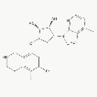 Cc1ncnc2c1ccn2C1CC(Oc2cc(Br)c(F)c3c2CNCC3)[C@@H](O)[C@H]1O